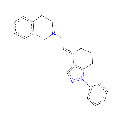 C(/CN1CCc2ccccc2C1)=C1/CCCc2c1cnn2-c1ccccc1